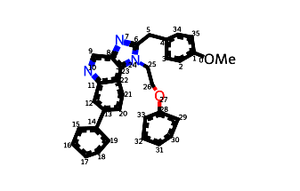 COc1ccc(Cc2nc3cnc4cc(-c5ccccc5)ccc4c3n2CCOc2ccccc2)cc1